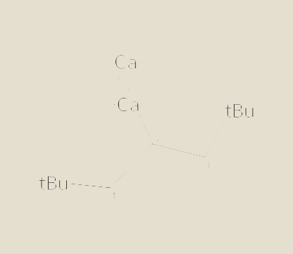 CC(C)(C)C[CH]([Ca])CC(C)(C)C.[Ca]